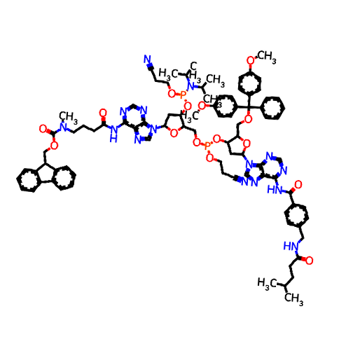 COc1ccc(C(OCC2OC(n3cnc4c(NC(=O)c5ccc(CNC(=O)CCC(C)C)cc5)ncnc43)CC2OP(OCCC#N)OCC2OC(n3cnc4c(NC(=O)CCCN(C)C(=O)OCC5c6ccccc6-c6ccccc65)ncnc43)CC2OP(OCCC#N)N(C(C)C)C(C)C)(c2ccccc2)c2ccc(OC)cc2)cc1